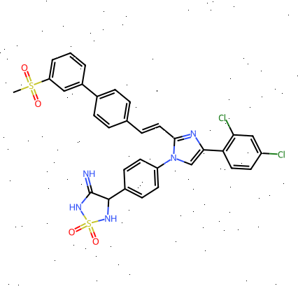 CS(=O)(=O)c1cccc(-c2ccc(/C=C/c3nc(-c4ccc(Cl)cc4Cl)cn3-c3ccc(C4NS(=O)(=O)NC4=N)cc3)cc2)c1